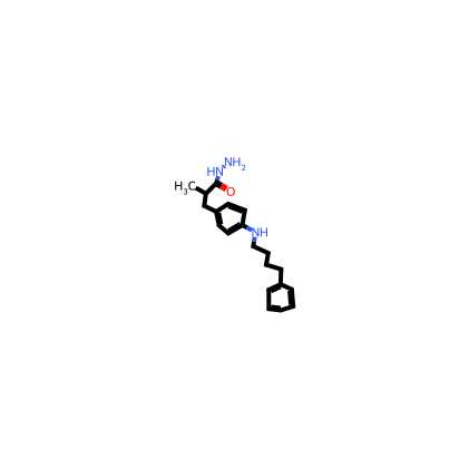 CC(Cc1ccc(NCCCCc2ccccc2)cc1)C(=O)NN